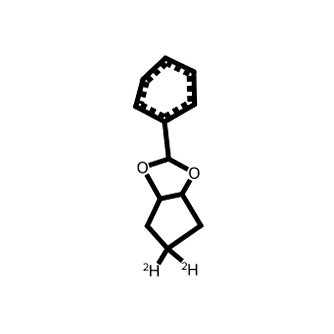 [2H]C1([2H])CC2OC(c3ccccc3)OC2C1